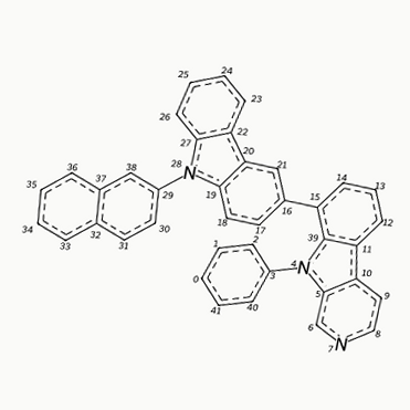 c1ccc(-n2c3cnccc3c3cccc(-c4ccc5c(c4)c4ccccc4n5-c4ccc5ccccc5c4)c32)cc1